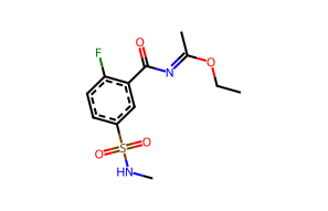 CCO/C(C)=N/C(=O)c1cc(S(=O)(=O)NC)ccc1F